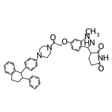 CN1NC(C2CCC(=O)NC2=O)c2ccc(OCC(=O)N3CCN(c4ccc(C5c6ccccc6CCC5c5ccccc5)cc4)CC3)cc21